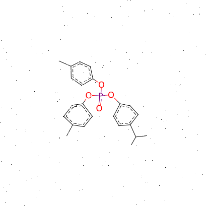 Cc1ccc(OP(=O)(Oc2ccc(C)cc2)Oc2ccc(C(C)C)cc2)cc1